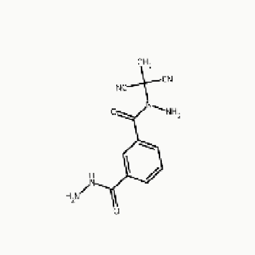 CC(C#N)(C#N)N(N)C(=O)c1cccc(C(=O)NN)c1